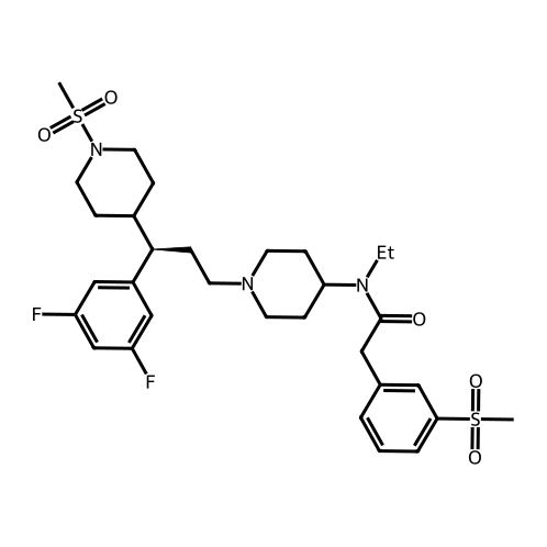 CCN(C(=O)Cc1cccc(S(C)(=O)=O)c1)C1CCN(CC[C@@H](c2cc(F)cc(F)c2)C2CCN(S(C)(=O)=O)CC2)CC1